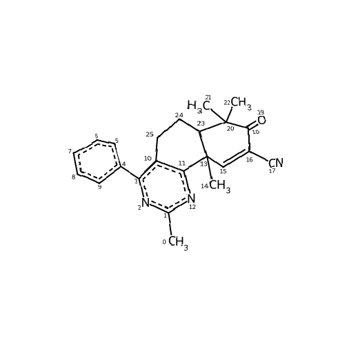 Cc1nc(-c2ccccc2)c2c(n1)C1(C)C=C(C#N)C(=O)C(C)(C)C1CC2